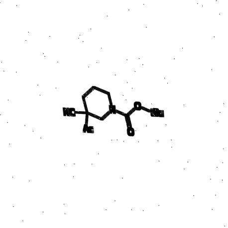 CC(=O)C1(C#N)CCCN(C(=O)OC(C)(C)C)C1